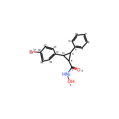 O=C(NO)C1C(c2ccccc2)C1c1ccc(Br)cc1